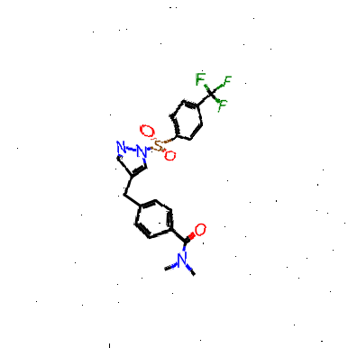 CN(C)C(=O)c1ccc(Cc2cnn(S(=O)(=O)c3ccc(C(F)(F)F)cc3)c2)cc1